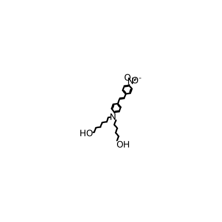 O=[N+]([O-])c1ccc(/C=C/c2ccc(N(CCCCCCO)CCCCCCO)cc2)cc1